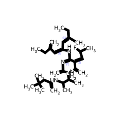 C=C(/C=C(\C=C(/C)CC)NC(=N/C(=C)NC(C)C(C)NC(=C)CC(C)(C)C)/C(=C\C(C)F)C(=C)N)CC